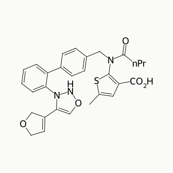 CCCC(=O)N(Cc1ccc(-c2ccccc2N2NOC=C2C2=CCOC2)cc1)c1sc(C)cc1C(=O)O